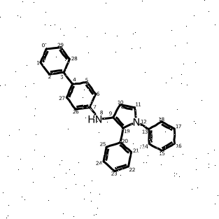 c1ccc(-c2ccc(Nc3ccn(-c4ccccc4)c3-c3ccccc3)cc2)cc1